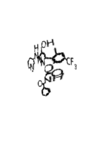 Cc1cc(C(F)(F)F)cc(OC(=O)CNC(=O)c2ccccc2)c1-c1cc(CO)c(N[C@@H]2CCCN(C)C2)nn1